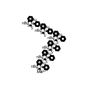 CCCCc1ccccc1N(C(=S)[S-])c1ccccc1CCCC.CCCCc1ccccc1N(C(=S)[S-])c1ccccc1CCCC.CCCCc1ccccc1N(C(=S)[S-])c1ccccc1CCCC.CCCCc1ccccc1N(C(=S)[S-])c1ccccc1CCCC.CCCCc1ccccc1N(C(=S)[S-])c1ccccc1CCCC.CCCCc1ccccc1N(C(=S)[S-])c1ccccc1CCCC.[Mo+6]